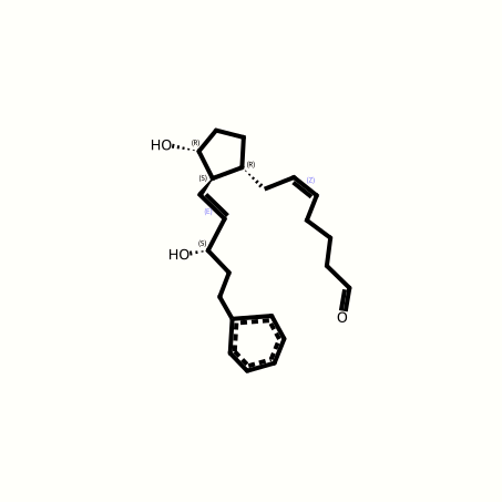 O=CCCC/C=C\C[C@H]1CC[C@@H](O)[C@@H]1/C=C/[C@@H](O)CCc1ccccc1